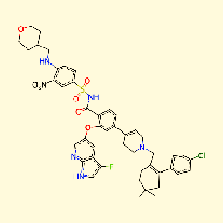 CC1(C)CCC(CN2CC=C(c3ccc(C(=O)NS(=O)(=O)c4ccc(NCC5CCOCC5)c([N+](=O)[O-])c4)c(Oc4cnc5[nH]cc(F)c5c4)c3)CC2)=C(c2ccc(Cl)cc2)C1